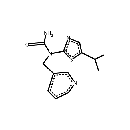 CC(C)c1cnc(N(Cc2cccnc2)C(N)=O)s1